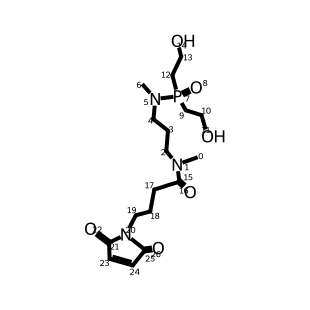 CN(CCCN(C)P(=O)(CCO)CCO)C(=O)CCCN1C(=O)C=CC1=O